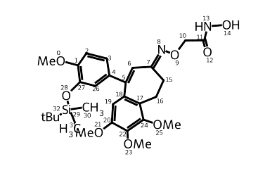 COc1ccc(C2=C/C(=N/OCC(=O)NO)CCc3c2cc(OC)c(OC)c3OC)cc1O[Si](C)(C)C(C)(C)C